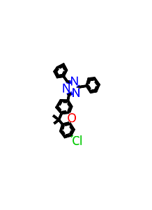 CC1(C)c2ccc(Cl)cc2Oc2cc(-c3nc(-c4ccccc4)nc(-c4ccccc4)n3)ccc21